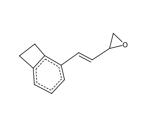 C(=CC1CO1)c1cccc2c1CC2